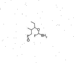 BC(F)OC(CC)C(C)CP=O